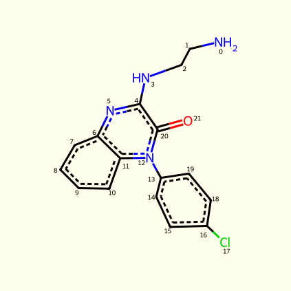 NCCNc1nc2ccccc2n(-c2ccc(Cl)cc2)c1=O